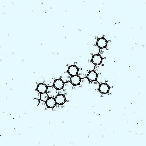 CC1(C)c2cccc(-c3ccc(-c4ccc(-c5nc(-c6ccccc6)cc(-c6ccc(-c7ccccc7)cc6)n5)c5ccccc45)cc3)c2-c2c1ccc1ccccc21